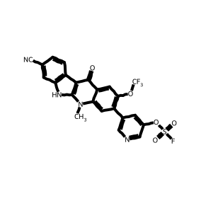 Cn1c2cc(-c3cncc(OS(=O)(=O)F)c3)c(OC(F)(F)F)cc2c(=O)c2c3ccc(C#N)cc3[nH]c21